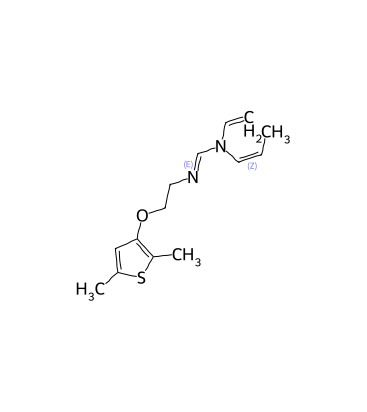 C=CN(/C=C\C)/C=N/CCOc1cc(C)sc1C